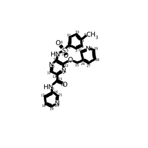 Cc1ccc(S(=O)(=O)Nc2ncc(C(=O)Nc3cccnc3)nc2OCc2cccnc2)cc1